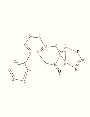 O=C1Cc2c(cccc2-c2ccccc2)CC12CC1C=CC2C1